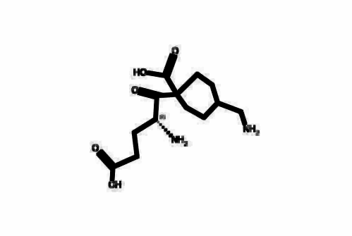 NCC1CCC(C(=O)O)(C(=O)[C@H](N)CCC(=O)O)CC1